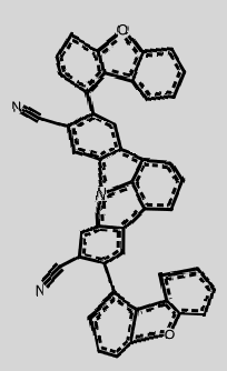 N#Cc1cc2c(cc1-c1cccc3oc4ccccc4c13)c1cccc3c4cc(-c5cccc6oc7ccccc7c56)c(C#N)cc4n2c13